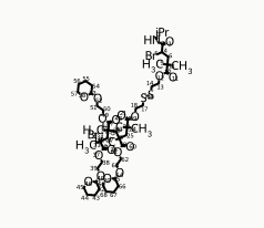 CC(C)NC(=O)C(Br)CC(C)(C)C(=O)OCCSSCCOC(=O)C(C)(C)CC(C)(CC(C)(CC(C)(Br)C(=O)OCCOC1CCCCO1)C(=O)OCCOC1CCCCO1)C(=O)OCCOC1CCCCO1